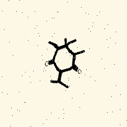 CC(C)C1C(=O)C(C)C(C)(C)C(C)C1=O